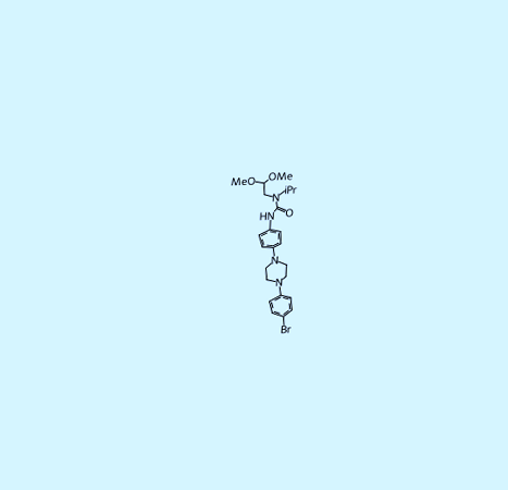 COC(CN(C(=O)Nc1ccc(N2CCN(c3ccc(Br)cc3)CC2)cc1)C(C)C)OC